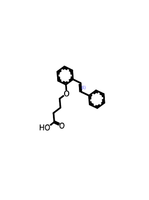 O=C(O)CCCOc1ccccc1/C=C/c1ccccc1